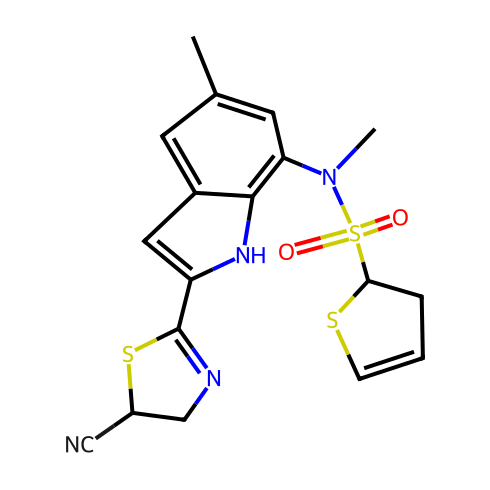 Cc1cc(N(C)S(=O)(=O)C2CC=CS2)c2[nH]c(C3=NCC(C#N)S3)cc2c1